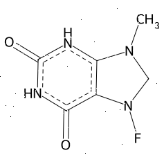 CN1CN(F)c2c1[nH]c(=O)[nH]c2=O